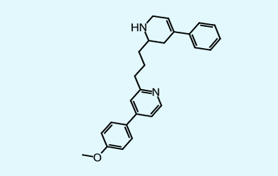 COc1ccc(-c2ccnc(CCCC3CC(c4ccccc4)=CCN3)c2)cc1